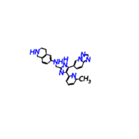 Cc1cccc(-c2nc(CNc3ccc4c(c3)CCNC4)[nH]c2-c2ccc3ncnn3c2)n1